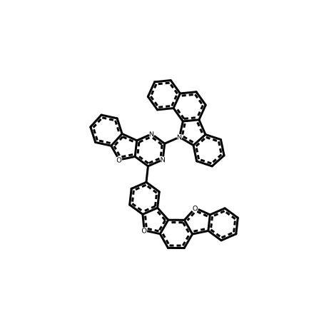 c1ccc2c(c1)ccc1c3ccccc3n(-c3nc(-c4ccc5oc6ccc7c8ccccc8oc7c6c5c4)c4oc5ccccc5c4n3)c21